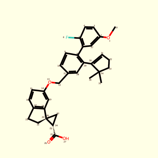 COc1ccc(F)c(-c2ccc(COc3ccc4c(c3)[C@]3(CC4)C[C@@H]3C(=O)O)cc2C2=CCCC2(C)C)c1